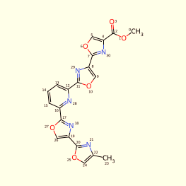 COC(=O)c1coc(-c2coc(-c3cccc(-c4nc(-c5nc(C)co5)co4)n3)n2)n1